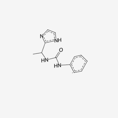 CC(NC(=O)Nc1[c]cccc1)c1ncc[nH]1